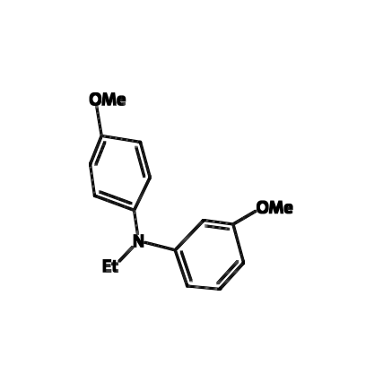 CCN(c1ccc(OC)cc1)c1cccc(OC)c1